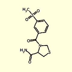 CS(=O)(=O)c1cccc(C(=O)N2CSCC2C(N)=O)c1